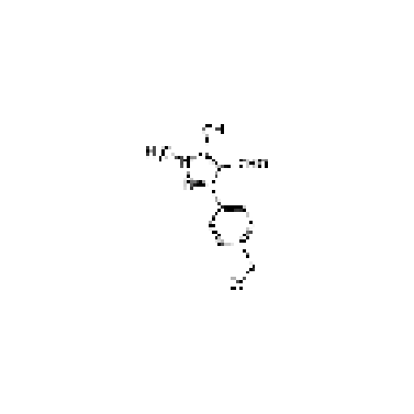 CCSc1ccc(-c2nn(C)c(O)c2C=O)cc1